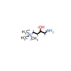 C[N+](C)(C)CCC(O)CN